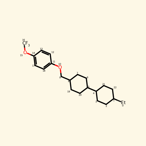 CCC1CCC(C2CCC(COc3ccc(OC(F)(F)F)cc3)CC2)CC1